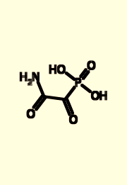 NC(=O)C(=O)P(=O)(O)O